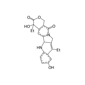 CCC1=C2Cn3c(cc4c(c3=O)COC(=O)C4(O)CC)C2Nc2ccc(O)cc21